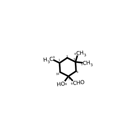 CC1CC(C)(C)CC(O)(C=O)C1